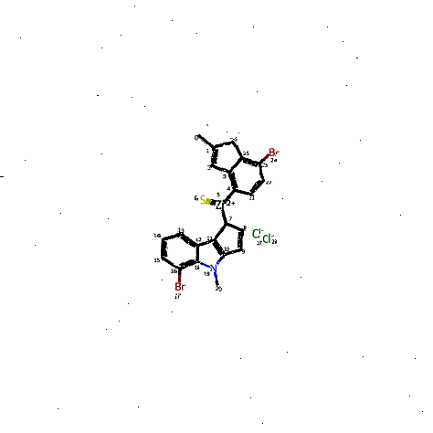 CC1=Cc2[c]([Zr+2](=[S])[CH]3C=Cc4c3c3cccc(Br)c3n4C)ccc(Br)c2C1.[Cl-].[Cl-]